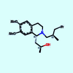 COc1cc2c(cc1OC)[C@@H](C[C@H](C)O)N(C[C@H](C)CC(C)C)CC2